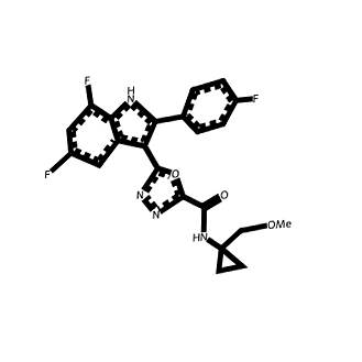 COCC1(NC(=O)c2nnc(-c3c(-c4ccc(F)cc4)[nH]c4c(F)cc(F)cc34)o2)CC1